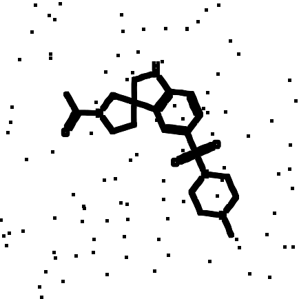 CC(=O)N1CCC2(CNc3ccc(S(=O)(=O)N4CCN(C)CC4)cc32)C1